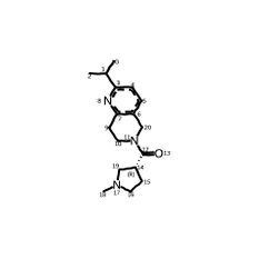 CC(C)c1ccc2c(n1)CCN(C(=O)[C@@H]1CCN(C)C1)C2